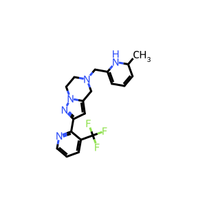 CC1C=CC=C(CN2CCn3nc(-c4ncccc4C(F)(F)F)cc3C2)N1